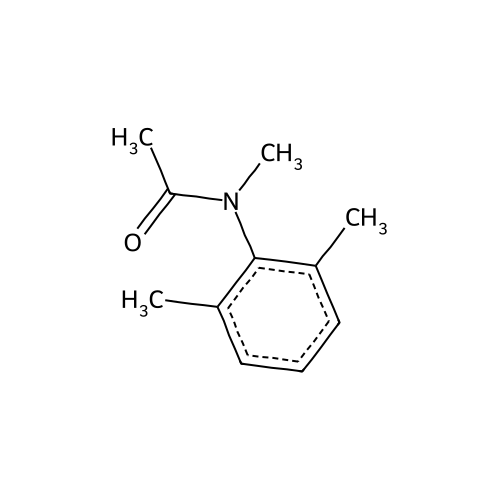 CC(=O)N(C)c1c(C)cccc1C